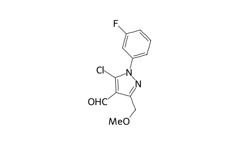 COCc1nn(-c2cccc(F)c2)c(Cl)c1C=O